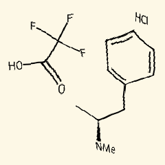 CN[C@@H](C)Cc1ccccc1.Cl.O=C(O)C(F)(F)F